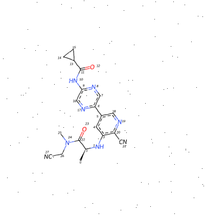 C[C@H](Nc1cc(-c2cnc(NC(=O)C3CC3)cn2)cnc1C#N)C(=O)N(C)CC#N